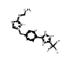 CCSc1ncn(Cc2ccc(-c3noc(C(F)(F)F)n3)cc2)n1